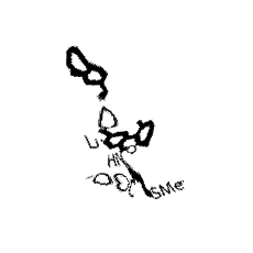 CSCC[C@H](NC(=O)c1ccc(COCCc2ccc3ccccc3c2)cc1-c1ccccc1C)C(=O)[O-].[Li+]